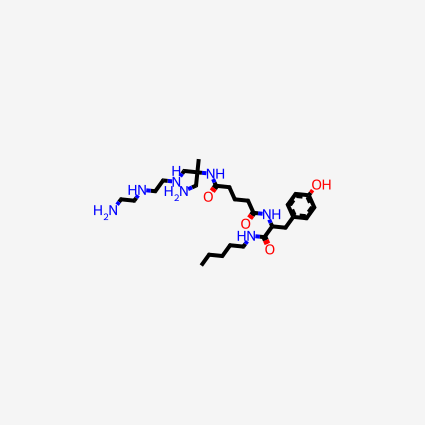 CCCCCNC(=O)C(Cc1ccc(O)cc1)NC(=O)CCCC(=O)NC(C)(CN)CNCCNCCN